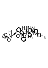 Cc1ccc2nc(N)c(C(=O)NC(C)c3cc4cccc(C#CCNC(=O)[C@H]5CCCO5)c4c(=O)n3-c3ccccc3)n2n1